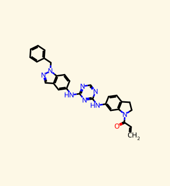 C=CC(=O)N1CCc2ccc(Nc3ncnc(Nc4ccc5c(cnn5Cc5ccccc5)c4)n3)cc21